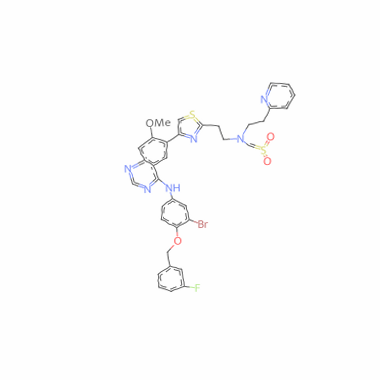 COc1cc2ncnc(Nc3ccc(OCc4cccc(F)c4)c(Br)c3)c2cc1-c1csc(CCN(C=S(=O)=O)CCc2ccccn2)n1